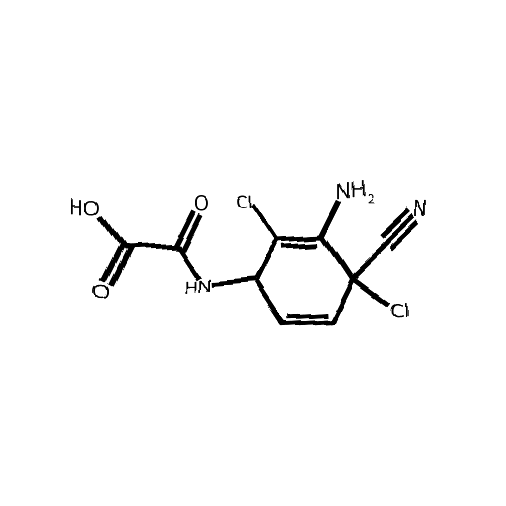 N#CC1(Cl)C=CC(NC(=O)C(=O)O)C(Cl)=C1N